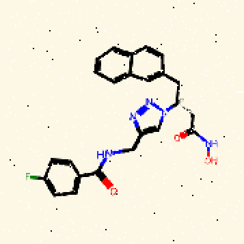 O=C(C[C@@H](Cc1ccc2ccccc2c1)n1cc(CNC(=O)c2ccc(F)cc2)nn1)NO